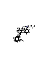 C/C=C(/C(=O)O)c1ccccc1Oc1ccnc(Oc2ccccc2C#N)c1